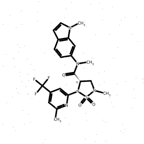 Cc1cc(C(F)(F)F)cc(N2[C@H](C(=O)N(C)c3ccc4ccn(C)c4c3)CN(C)S2(=O)=O)n1